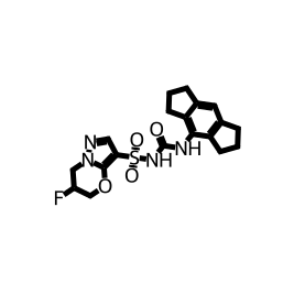 O=C(Nc1c2c(cc3c1CCC3)CCC2)NS(=O)(=O)c1cnn2c1OCC(F)C2